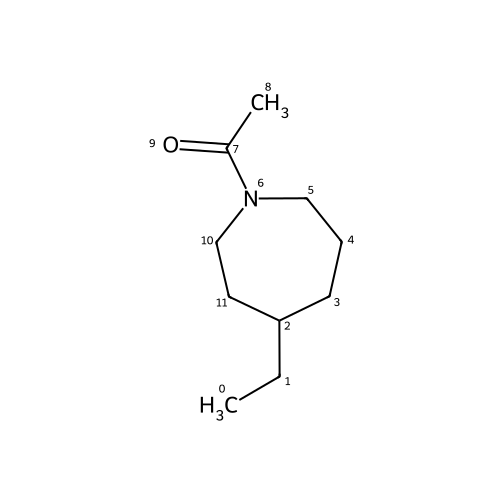 CCC1CCCN(C(C)=O)CC1